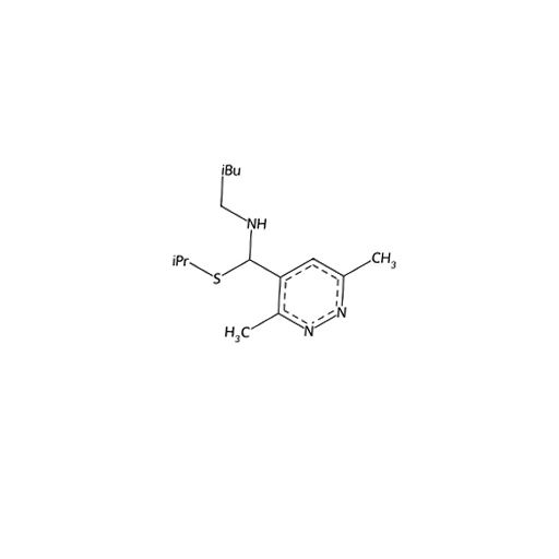 CCC(C)CNC(SC(C)C)c1cc(C)nnc1C